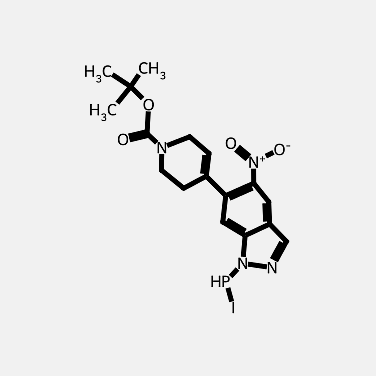 CC(C)(C)OC(=O)N1CC=C(c2cc3c(cnn3PI)cc2[N+](=O)[O-])CC1